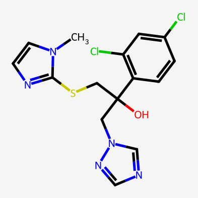 Cn1ccnc1SCC(O)(Cn1cncn1)c1ccc(Cl)cc1Cl